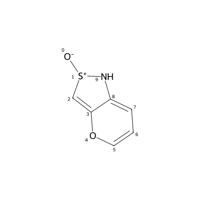 [O-][S+]1C=C2OC=CC=C2N1